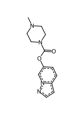 CN1CCN(C(=O)Oc2ccc3ccnn3c2)CC1